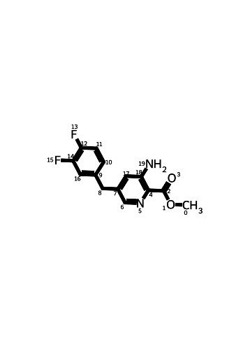 COC(=O)c1ncc(Cc2ccc(F)c(F)c2)cc1N